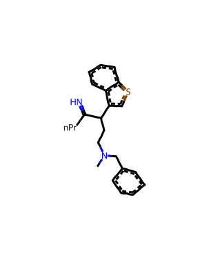 CCCC(=N)C(CCN(C)Cc1ccccc1)c1csc2ccccc12